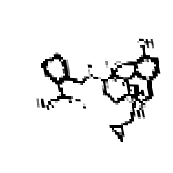 CC(C)c1ccccc1CN[C@@H]1CC[C@@]2(O)[C@H]3Cc4ccc(O)c5c4[C@@]2(CCN3CC2CC2)[C@H]1O5